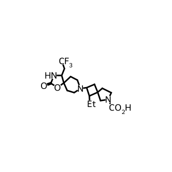 CCC1C(N2CCC3(CC2)OC(=O)NC3CC(F)(F)F)CC12CCN(C(=O)O)C2